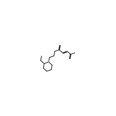 C=C(C)/C=C/C(=C)CCCN1CCCCC1CC